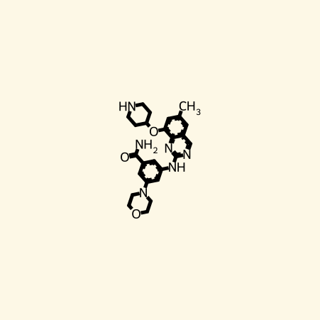 Cc1cc(OC2CCNCC2)c2nc(Nc3cc(C(N)=O)cc(N4CCOCC4)c3)ncc2c1